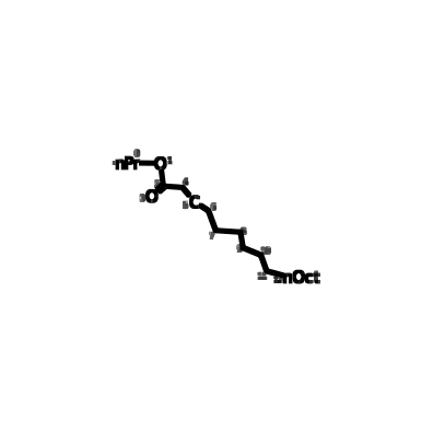 CC[CH]OC(=O)CCCCCCCCCCCCCCCC